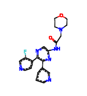 O=C(CN1CCOCC1)Nc1cnc(-c2ccncc2F)c(-c2cccnc2)n1